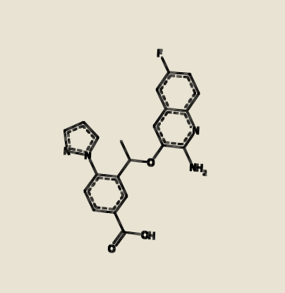 CC(Oc1cc2cc(F)ccc2nc1N)c1cc(C(=O)O)ccc1-n1cccn1